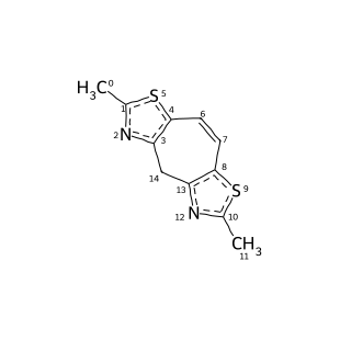 Cc1nc2c(s1)C=Cc1sc(C)nc1C2